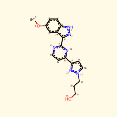 CC(C)Oc1ccc2[nH]nc(-c3nccc(-c4ccn(CCCO)n4)n3)c2c1